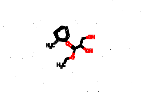 CCOC(=O)C(O)CO.Cc1ccccc1